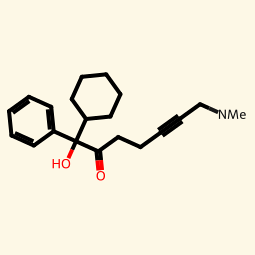 CNCC#CCCC(=O)C(O)(c1ccccc1)C1CCCCC1